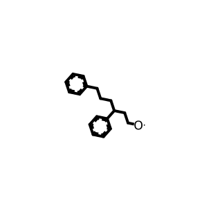 [O]CCC(CCCc1ccccc1)c1ccccc1